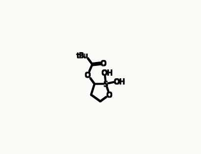 CC(C)(C)C(=O)OC1CCOS1(O)O